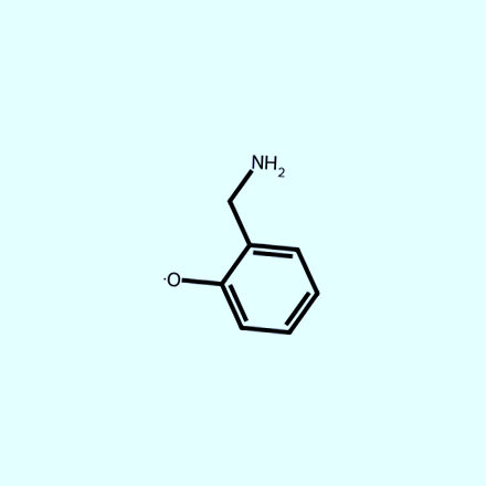 NCc1ccccc1[O]